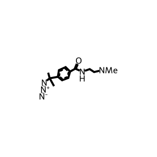 CNCCNC(=O)c1ccc(C(C)(C)N=[N+]=[N-])cc1